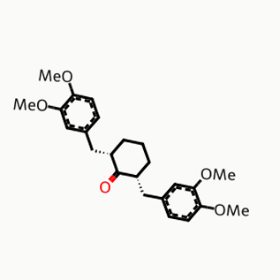 COc1ccc(C[C@H]2CCC[C@@H](Cc3ccc(OC)c(OC)c3)C2=O)cc1OC